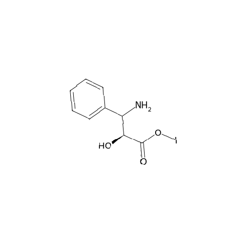 NC(c1ccccc1)[C@H](O)C(=O)OI